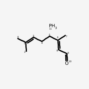 CC(C)=CCCC(C)=CC=O.P